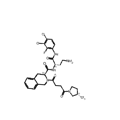 NCC[C@H](NC(=O)[C@@H]1Cc2ccccc2CN1C(=O)CCC(=O)N1CC[C@H](C(F)(F)F)C1)C(=O)Nc1ccc(Cl)c(Cl)c1F